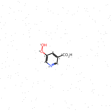 O=C(O)c1cncc(OO)c1